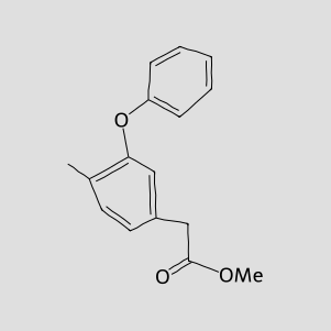 COC(=O)Cc1ccc(C)c(Oc2ccccc2)c1